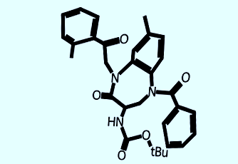 Cc1ccc2c(c1)N(CC(=O)c1ccccc1C)C(=O)C(NC(=O)OC(C)(C)C)CN2C(=O)c1ccccc1